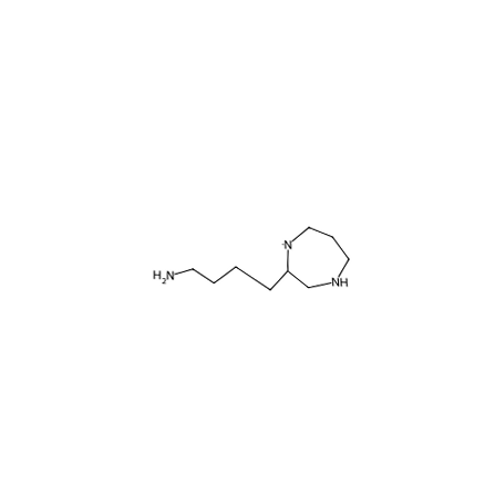 NCCCCC1CNCCC[N]1